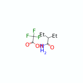 CCC(CC)C(N)=O.O=C(O)C(F)(F)F